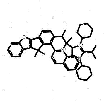 CC(C)C1=[N+](C2CCCCC2)C(C2(C)C(C)c3ccc4c(c3-c3ccc5ccccc5[n+]32)C(C)(C)c2c-4oc3ccccc23)CN1C1CCCCC1